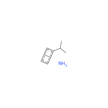 CC(C)c1cc2ccc1-2.N